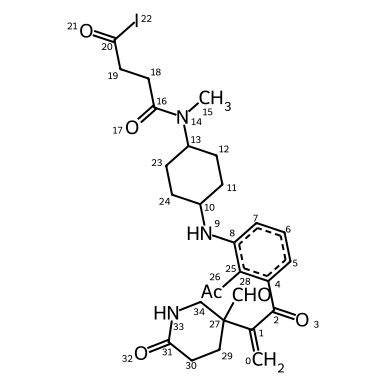 C=C(C(=O)c1cccc(NC2CCC(N(C)C(=O)CCC(=O)I)CC2)c1C(C)=O)C1(C=O)CCC(=O)NC1